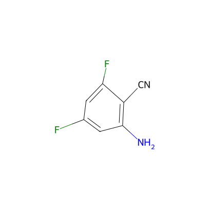 N#Cc1c(N)cc(F)cc1F